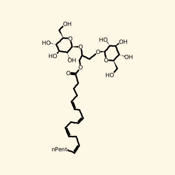 CCCCC/C=C\C/C=C\C/C=C\C/C=C\CCCC(=O)OCC(CO[C@@H]1O[C@H](CO)[C@@H](O)[C@H](O)[C@H]1O)O[C@@H]1O[C@H](CO)[C@@H](O)[C@H](O)[C@H]1O